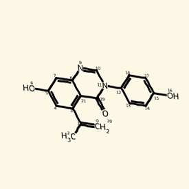 C=C(C)c1cc(O)cc2ncn(-c3ccc(O)cc3)c(=O)c12